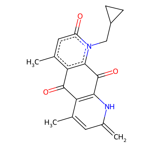 C=C1C=C(C)C2=C(N1)C(=O)c1c(c(C)cc(=O)n1CC1CC1)C2=O